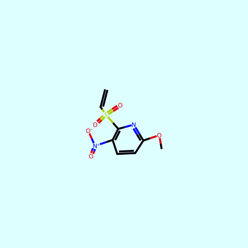 C=CS(=O)(=O)c1nc(OC)ccc1[N+](=O)[O-]